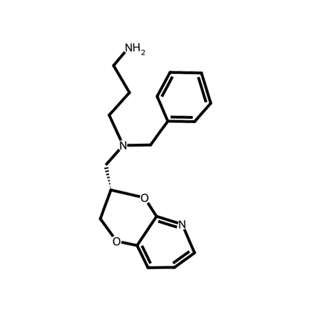 NCCCN(Cc1ccccc1)C[C@H]1COc2cccnc2O1